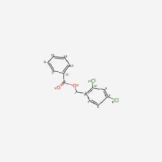 O=C(OCc1ccc(Cl)cc1Cl)c1ccccc1